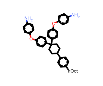 CCCCCCCCc1ccc(C2CCC(c3ccc(Oc4ccc(N)cc4)cc3)(c3ccc(Oc4ccc(N)cc4)cc3)CC2)cc1